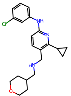 Clc1cccc(Nc2ccc(CNCC3CCOCC3)c(C3CC3)n2)c1